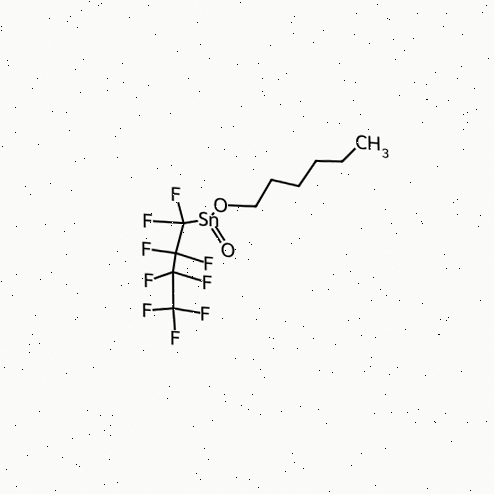 CCCCCC[O][Sn](=[O])[C](F)(F)C(F)(F)C(F)(F)C(F)(F)F